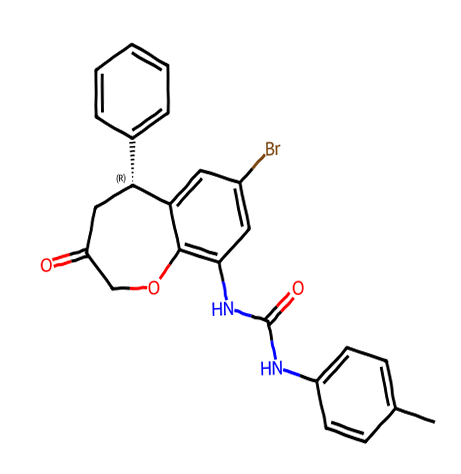 Cc1ccc(NC(=O)Nc2cc(Br)cc3c2OCC(=O)C[C@@H]3c2ccccc2)cc1